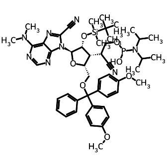 COc1ccc(C(OC[C@@H]2O[C@@H](n3c(C#N)nc4c(N(C)C)ncnc43)[C@H](O[Si](C)(C)C(C)(C)C)[C@@H]2C(C#N)COP(O)N(C(C)C)C(C)C)(c2ccccc2)c2ccc(OC)cc2)cc1